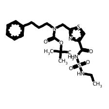 CCNS(=O)(=O)NC(=O)c1csc(CN(CCCc2ccccc2)C(=O)OC(C)(C)C)n1